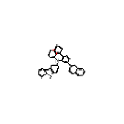 C1=CC2Sc3ccc(N(c4ccccc4)c4cc(-c5ccc6ccccc6c5)ccc4-c4ccccc4)cc3C2C=C1